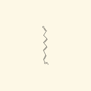 CC=CC=CC=CC[C]=O